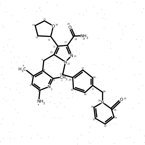 Cc1cc(N)nc(C)c1Cc1c(C2CCCO2)c(C(N)=O)nn1Cc1ccc(Cn2ccccc2=O)cc1